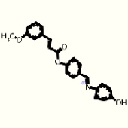 COc1cccc(C=CC(=O)Oc2ccc(/C=N/c3ccc(O)cc3)cc2)c1